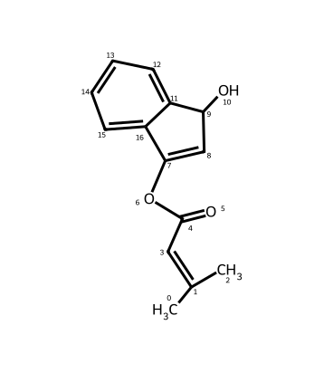 CC(C)=CC(=O)OC1=CC(O)c2ccccc21